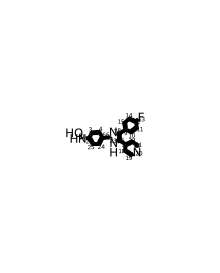 ONc1ccc(-c2nc(-c3ccc(F)cc3)c(-c3ccncc3)[nH]2)cc1